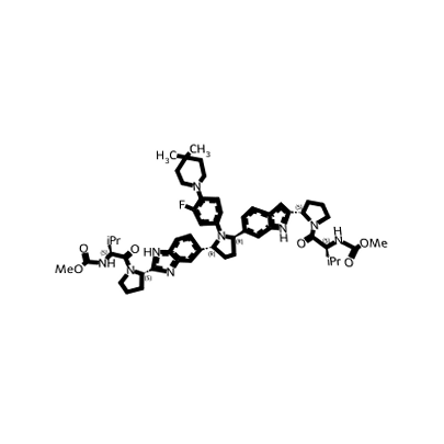 COC(=O)N[C@H](C(=O)N1CCC[C@H]1c1cc2ccc([C@H]3CC[C@H](c4ccc5[nH]c([C@@H]6CCCN6C(=O)[C@@H](NC(=O)OC)C(C)C)nc5c4)N3c3ccc(N4CCC(C)(C)CC4)c(F)c3)cc2[nH]1)C(C)C